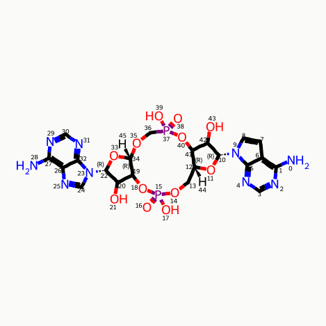 Nc1ncnc2c1ccn2[C@@H]1O[C@@H]2COP(=O)(O)OC3C(O)[C@H](n4cnc5c(N)ncnc54)O[C@@H]3OCP(=O)(O)OC2C1O